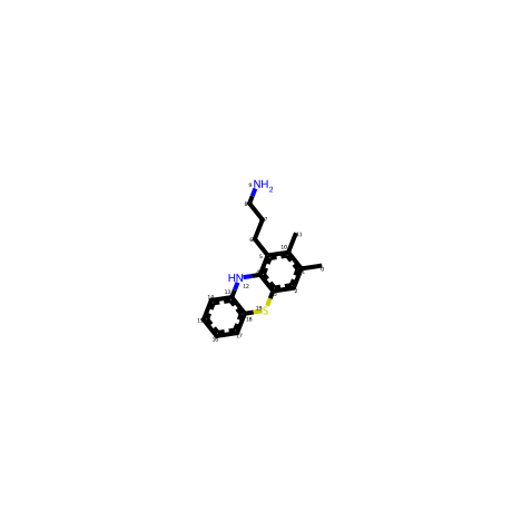 Cc1cc2c(c(CCCN)c1C)Nc1ccccc1S2